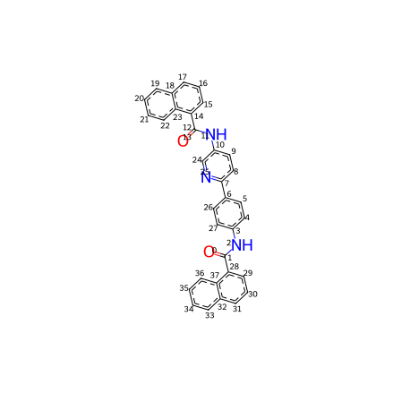 O=C(Nc1ccc(-c2ccc(NC(=O)c3cccc4ccccc34)cn2)cc1)c1cccc2ccccc12